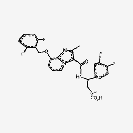 Cc1nc2c(OCc3c(F)cccc3F)cccn2c1C(=O)NC(CNC(=O)O)c1ccc(F)c(F)c1